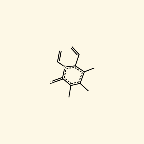 C=Cc1c(C)c(C)c(C)c(=O)n1C=C